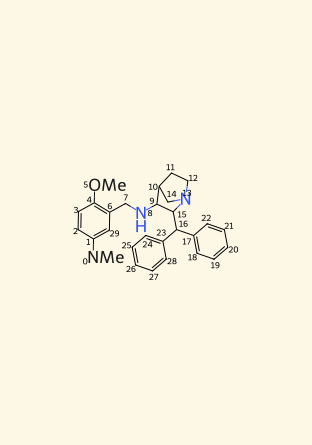 CNc1ccc(OC)c(CNC2C3CCN(C3)C2C(c2ccccc2)c2ccccc2)c1